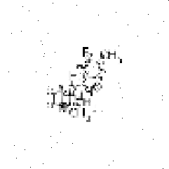 Cc1cc2onc(N[C@H]3C4CCN(CC4)C3(C)C)c2cc1F